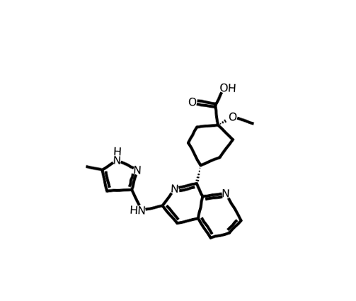 CO[C@]1(C(=O)O)CC[C@H](c2nc(Nc3cc(C)[nH]n3)cc3cccnc32)CC1